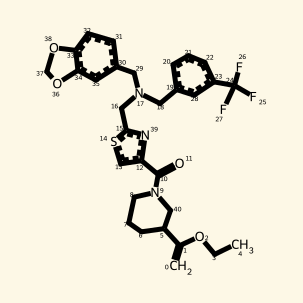 C=C(OCC)C1CCCN(C(=O)c2csc(CN(Cc3cccc(C(F)(F)F)c3)Cc3ccc4c(c3)OCO4)n2)C1